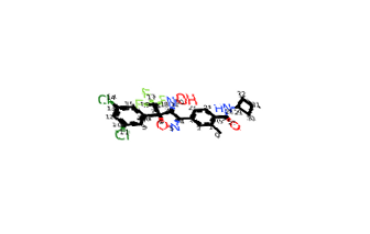 Cc1cc(C2=NOC(c3cc(Cl)cc(Cl)c3)(C(F)(F)F)/C2=N/O)ccc1C(=O)NC1CCC1